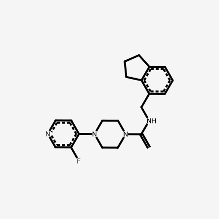 C=C(NCc1cccc2c1CCC2)N1CCN(c2ccncc2F)CC1